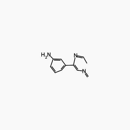 C=N/C=C(\N=C/C)c1cccc(N)c1